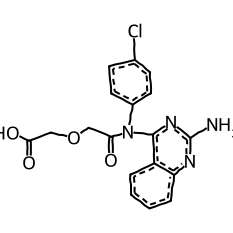 Nc1nc(N(C(=O)COCC(=O)O)c2ccc(Cl)cc2)c2ccccc2n1